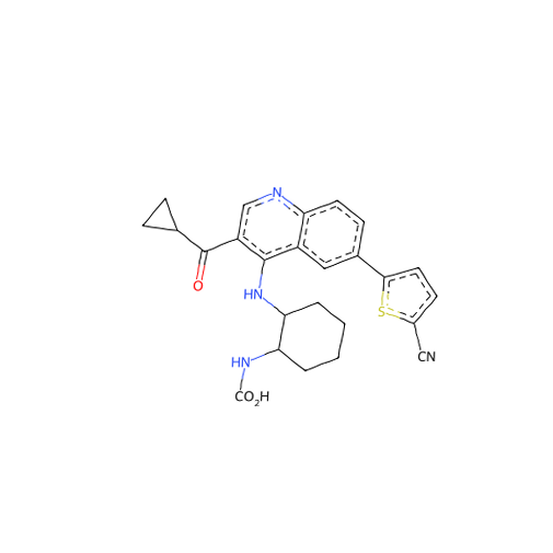 N#Cc1ccc(-c2ccc3ncc(C(=O)C4CC4)c(NC4CCCCC4NC(=O)O)c3c2)s1